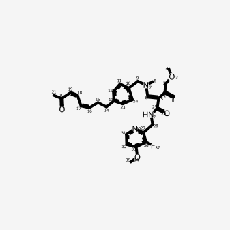 C=C(COC)/C(=C\N(C)Cc1ccc(CC/C=C\C=C/C(C)=O)cc1)C(=O)NCc1nccc(OC)c1F